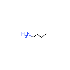 [CH2]C[CH]CN